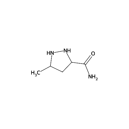 CC1CC(C(N)=O)NN1